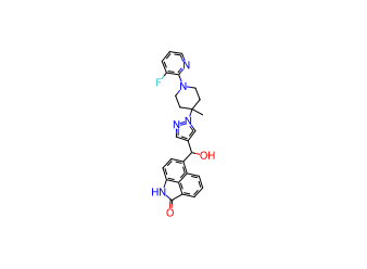 CC1(n2cc(C(O)c3ccc4c5c(cccc35)C(=O)N4)cn2)CCN(c2ncccc2F)CC1